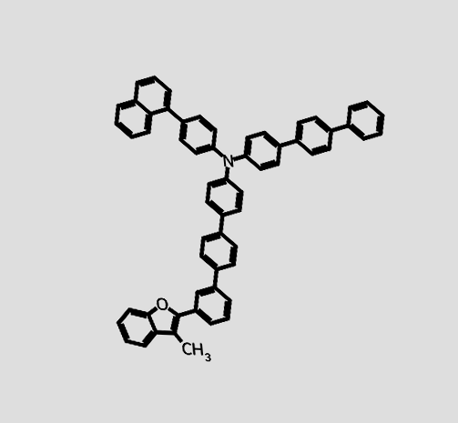 Cc1c(-c2cccc(-c3ccc(-c4ccc(N(c5ccc(-c6ccc(-c7ccccc7)cc6)cc5)c5ccc(-c6cccc7ccccc67)cc5)cc4)cc3)c2)oc2ccccc12